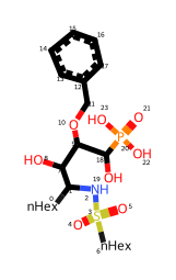 CCCCCCC(NS(=O)(=O)CCCCCC)C(O)C(OCc1ccccc1)C(O)P(=O)(O)O